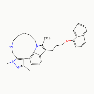 Cc1nn(C)c2c1-c1cccc3c(CCCOc4cccc5ccccc45)c(C(=O)O)n(c13)CCCCCNC2